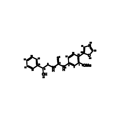 COc1cc(NC(=S)NCC(O)c2ccccc2)ccc1-c1cnco1